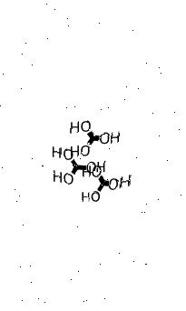 OC(O)O.OC(O)O.OC(O)O